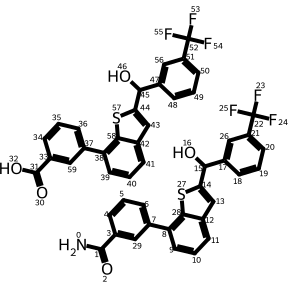 NC(=O)c1cccc(-c2cccc3cc(C(O)c4cccc(C(F)(F)F)c4)sc23)c1.O=C(O)c1cccc(-c2cccc3cc(C(O)c4cccc(C(F)(F)F)c4)sc23)c1